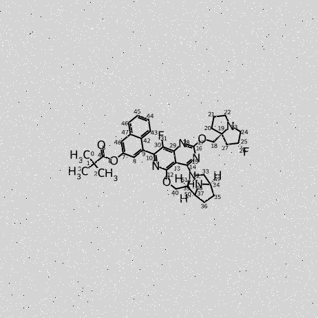 CC(C)(C)C(=O)Oc1cc(-c2nc3c4c(nc(OC[C@@]56CCCN5C[C@H](F)C6)nc4c2F)N2C[C@H]4CC[C@H](N4)[C@H]2CO3)c2ccccc2c1